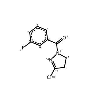 O=C(c1cccc(F)c1)N1CCC(Cl)=N1